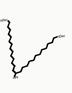 [CH2]CCC(CCCCCCCCCCCCCCCCCCCCCC)CCCCCCCCCCCCCCCCCCCCCCCC